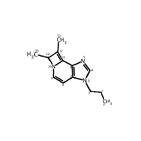 CCCn1cnc2c1C=CN1C2=C(C)C1C